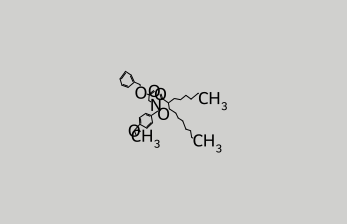 CCCCCCCC(=O)C(CCCCCC)C(=O)N(CC(=O)OCc1ccccc1)Cc1ccc(OC)cc1